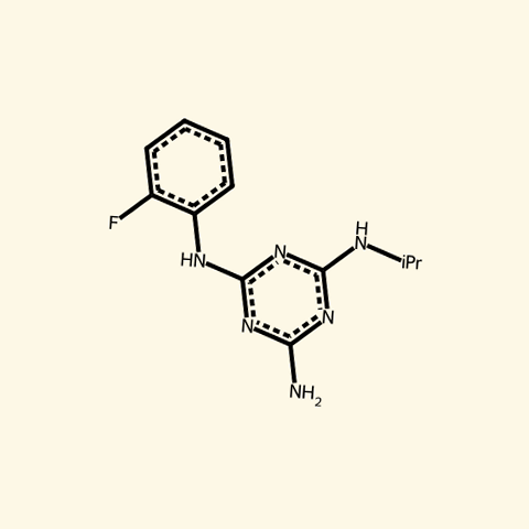 CC(C)Nc1nc(N)nc(Nc2ccccc2F)n1